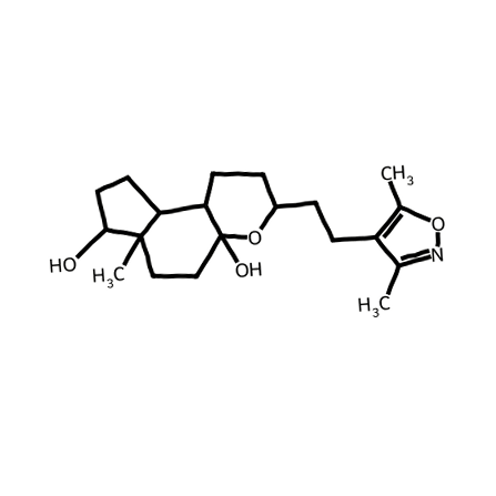 Cc1noc(C)c1CCC1CCC2C3CCC(O)C3(C)CCC2(O)O1